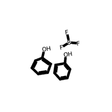 FB(F)F.Oc1ccccc1.Oc1ccccc1